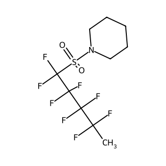 CC(F)(F)C(F)(F)C(F)(F)C(F)(F)S(=O)(=O)N1CCCCC1